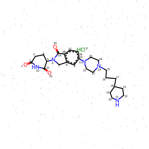 Cl.O=C1CCC(N2Cc3cc(N4CCN(CCCC5CCNCC5)CC4)ccc3C2=O)C(=O)N1